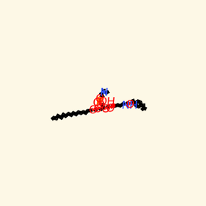 CCCCCCCCCCCCCCCCCOCOCC(COP(=O)(O)OCCN(C)CC)OCOCCCCCNCOC(C)c1ccc(CC(C)C)cc1